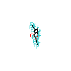 O=C1c2c(F)c(C(F)(F)C(F)(F)F)c(F)c(F)c2C(F)(F)C(F)(F)C1(F)C(F)(F)C(F)(F)C(F)(F)C(F)(F)F